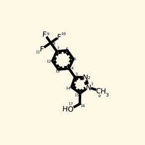 Cn1nc(-c2ccc(C(F)(F)F)cc2)cc1CO